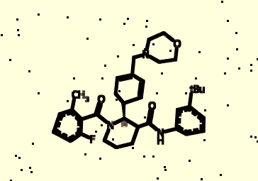 Cc1cccc(F)c1C(=O)N1CCCC(C(=O)Nc2cccc(C(C)(C)C)c2)[C@@H]1C1C=CC(CN2CCOCC2)=CC1